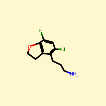 NCCCc1c(Cl)cc(F)c2c1CCO2